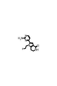 Nc1nccc(-c2cc3c(n2CCF)CCNC3=O)n1